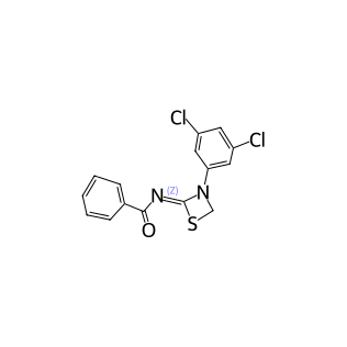 O=C(/N=C1\SCN1c1cc(Cl)cc(Cl)c1)c1ccccc1